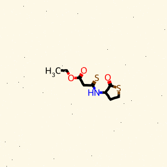 CCOC(=O)CC(=S)NC1CCSC1=O